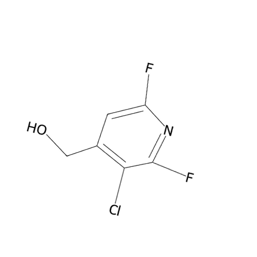 OCc1cc(F)nc(F)c1Cl